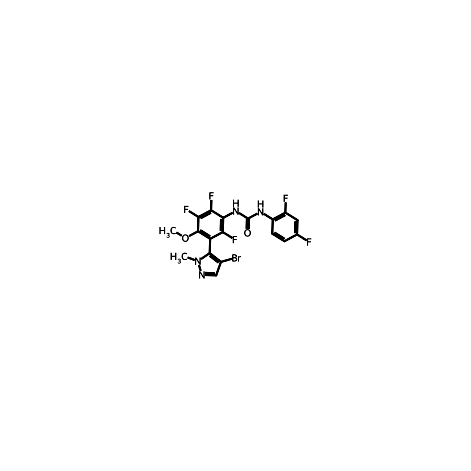 COc1c(F)c(F)c(NC(=O)Nc2ccc(F)cc2F)c(F)c1-c1c(Br)cnn1C